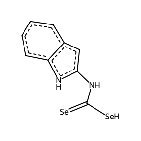 [Se]=C([SeH])Nc1cc2ccccc2[nH]1